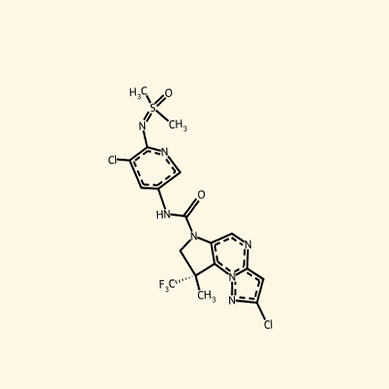 C[C@@]1(C(F)(F)F)CN(C(=O)Nc2cnc(N=S(C)(C)=O)c(Cl)c2)c2cnc3cc(Cl)nn3c21